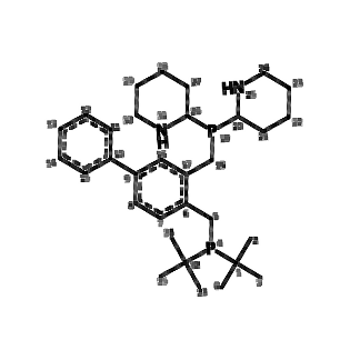 CC(C)(C)P(Cc1ccc(-c2ccccc2)cc1CP(C1CCCCN1)C1CCCCN1)C(C)(C)C